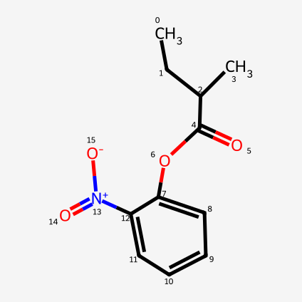 CCC(C)C(=O)Oc1ccccc1[N+](=O)[O-]